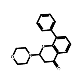 O=C1CC(N2CCOCC2)Oc2c1cccc2-c1ccccc1